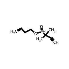 C#CC(C)(C)[PH](=O)OCCC=C